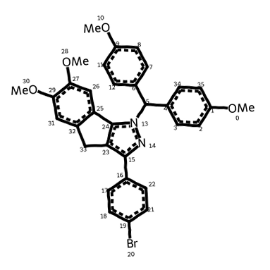 COc1ccc(C(c2ccc(OC)cc2)n2nc(-c3ccc(Br)cc3)c3c2-c2cc(OC)c(OC)cc2C3)cc1